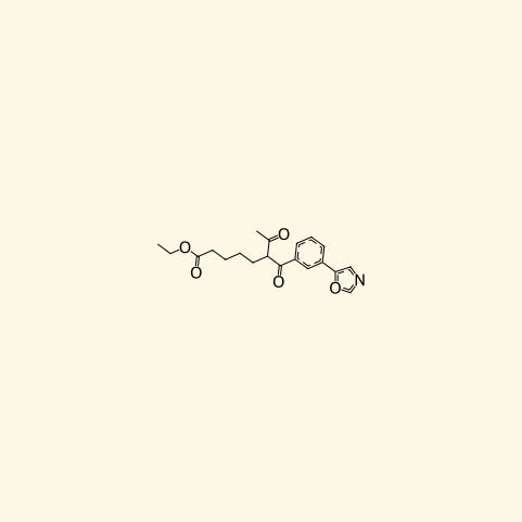 CCOC(=O)CCCCC(C(C)=O)C(=O)c1cccc(-c2cnco2)c1